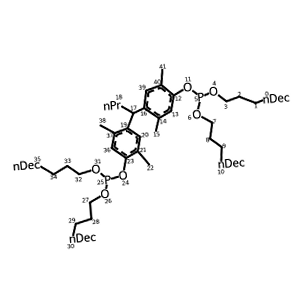 CCCCCCCCCCCCCOP(OCCCCCCCCCCCCC)Oc1cc(C)c(C(CCC)c2cc(C)c(OP(OCCCCCCCCCCCCC)OCCCCCCCCCCCCC)cc2C)cc1C